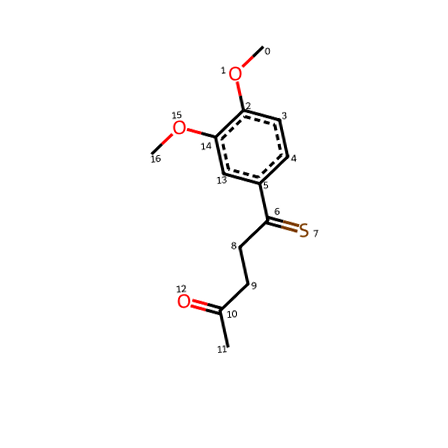 COc1ccc(C(=S)CCC(C)=O)cc1OC